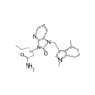 CCC[C@@H](CC(N)=O)n1c(=O)n(Cc2cn(C)c3cccc(C)c23)c2cccnc21